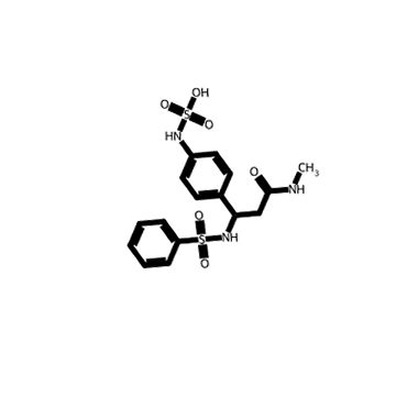 CNC(=O)CC(NS(=O)(=O)c1ccccc1)c1ccc(NS(=O)(=O)O)cc1